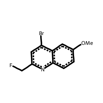 COc1ccc2nc(CF)cc(Br)c2c1